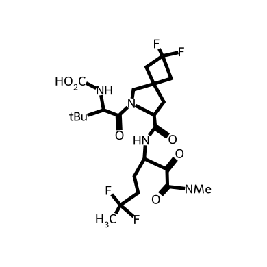 CNC(=O)C(=O)C(CCC(C)(F)F)NC(=O)C1CC2(CN1C(=O)C(NC(=O)O)C(C)(C)C)CC(F)(F)C2